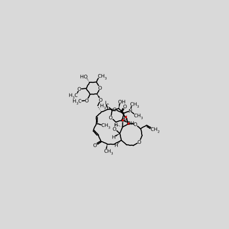 C=CC1COCC[C@H]2C[C@@H](C)C(=O)/C=C/C(C)=C/[C@H](CO[C@@H]3OC(C)[C@@H](O)C(OC)C3OC)[C@@H](I)OC(=O)C[C@@H](O1)[C@H](C)[C@H]2O[C@@H]1OC(C)[C@@H](O)C(N(C)C)C1O